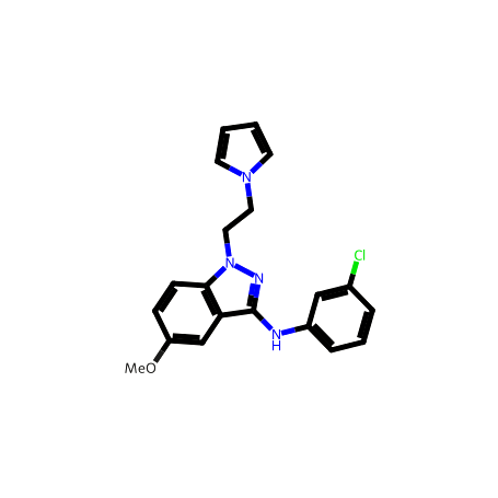 COc1ccc2c(c1)c(Nc1cccc(Cl)c1)nn2CCn1cccc1